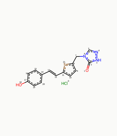 Cl.O=c1[nH]ncn1Cc1ccc(/C=C/c2ccc(O)cc2)s1